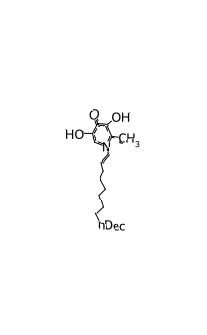 CCCCCCCCCCCCCCCCC=Cn1cc(O)c(=O)c(O)c1C